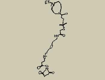 CCN1CCN(C(=O)CCC(C)(C)SCC(=O)NCCOCCOCCC(=O)ON2C(=O)CCC2=O)CC1